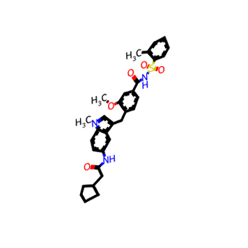 COc1cc(C(=O)NS(=O)(=O)c2ccccc2C)ccc1Cc1cn(C)c2ccc(NC(=O)CC3CCCC3)cc12